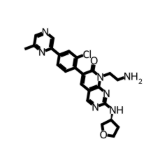 Cc1cncc(-c2ccc(-c3cc4cnc(N[C@H]5CCOC5)nc4n(CCN)c3=O)c(Cl)c2)n1